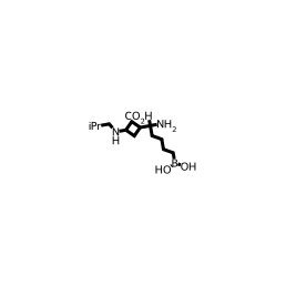 CC(C)CNC1CC(C(N)(CCCCB(O)O)C(=O)O)C1